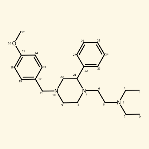 CCN(CC)CCN1CCN(Cc2ccc(OC)cc2)CC1c1ccccc1